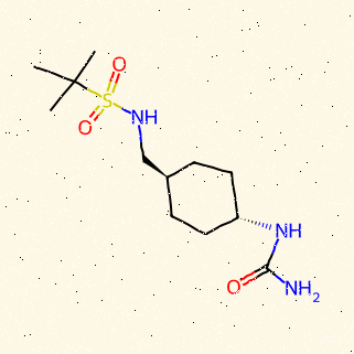 CC(C)(C)S(=O)(=O)NC[C@H]1CC[C@H](NC(N)=O)CC1